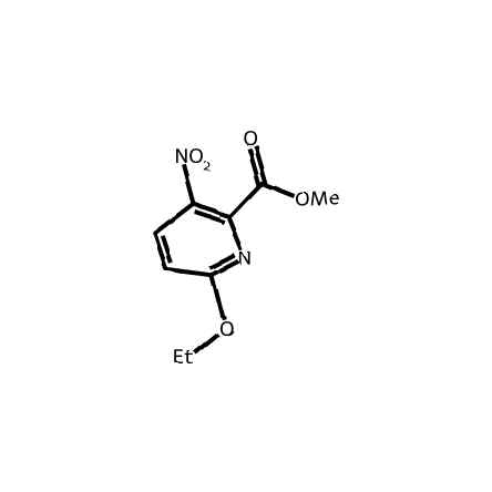 CCOc1ccc([N+](=O)[O-])c(C(=O)OC)n1